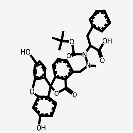 CN(Cc1cccc2c1C(=O)OC21c2ccc(O)cc2Oc2cc(O)ccc21)N(C(=O)OC(C)(C)C)C(Cc1ccccc1)C(=O)O